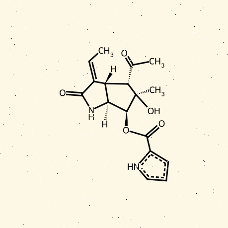 C/C=C1/C(=O)N[C@H]2[C@H]1[C@H](C(C)=O)[C@@](C)(O)[C@H]2OC(=O)c1ccc[nH]1